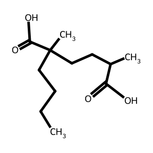 CCCCC(C)(CCC(C)C(=O)O)C(=O)O